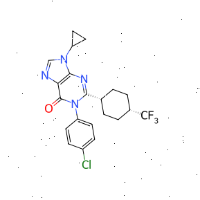 O=c1c2ncn(C3CC3)c2nc([C@H]2CC[C@@H](C(F)(F)F)CC2)n1-c1ccc(Cl)cc1